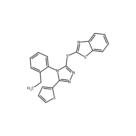 CCc1ccccc1-n1c(Sc2nc3ccccc3s2)nnc1-c1cccs1